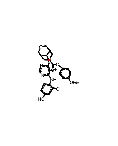 COc1ccc(OC(=O)N2CC3COCC(C2)C3Oc2ncnc(Nc3ccc(C#N)cc3Cl)c2F)cc1